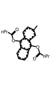 CCCC(=O)Oc1c2ccccc2c(OC(=O)CCC)c2cc(C)ccc12